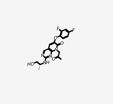 CC(=O)Cn1c(=O)c(Oc2ccc(F)cc2F)cc2cnc(N[C@H](C)CO)nc21